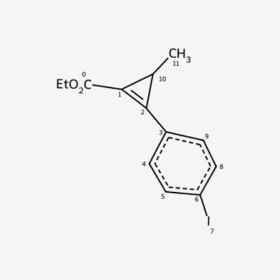 CCOC(=O)C1=C(c2ccc(I)cc2)C1C